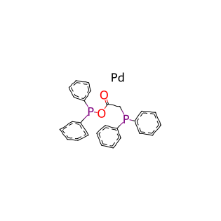 O=C(CP(c1ccccc1)c1ccccc1)OP(c1ccccc1)c1ccccc1.[Pd]